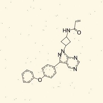 C=CC(=O)NC1CC(n2nc(-c3ccc(Oc4ccccc4)cc3)c3cncnc32)C1